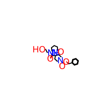 O=C(OCc1ccccc1)N1CCC(C(=O)NCCO)(N2CCCCC2=O)CC1